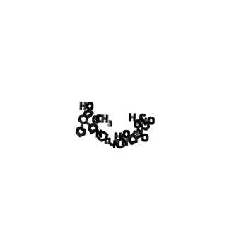 COc1cc(N2CCC3(CC2)CC(CN2CCN4c5ccc6c(c5OC[C@H]4C2)CN([C@H]2CCC(=O)N(C)C2=O)C6=O)C3)ccc1[C@@H]1c2ccc(O)cc2CC[C@@H]1c1ccccc1